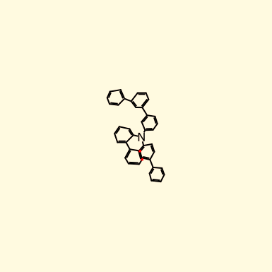 c1ccc(-c2ccc(N(c3cccc(-c4cccc(-c5ccccc5)c4)c3)c3ccccc3-c3ccccc3)cc2)cc1